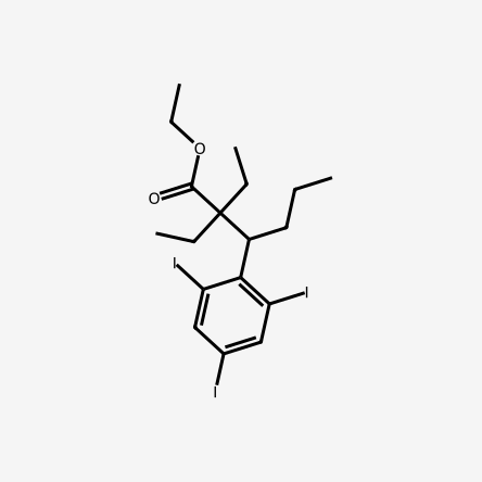 CCCC(c1c(I)cc(I)cc1I)C(CC)(CC)C(=O)OCC